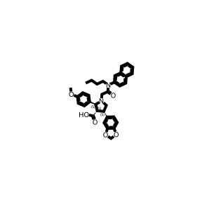 CCCCN(C(=O)CN1C[C@H](c2ccc3c(c2)OCO3)[C@H](C(=O)O)[C@H]1c1ccc(OC)cc1)c1ccc2ccccc2c1